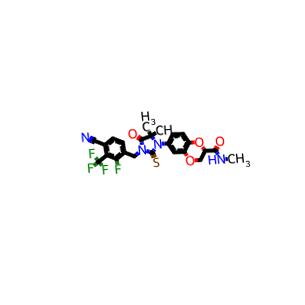 CNC(=O)C1COc2cc(N3C(=S)N(Cc4ccc(C#N)c(C(F)(F)F)c4F)C(=O)C3(C)C)ccc2O1